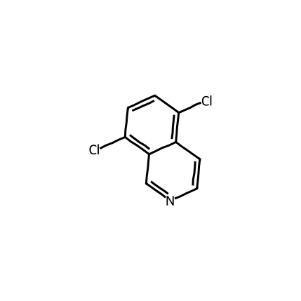 Clc1ccc(Cl)c2cnccc12